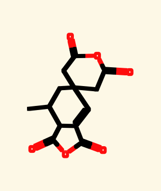 CC1CC2(C=C3C(=O)OC(=O)C31)CC(=O)OC(=O)C2